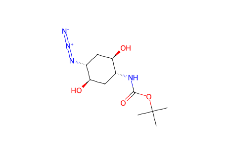 CC(C)(C)OC(=O)N[C@@H]1C[C@@H](O)[C@H](N=[N+]=[N-])C[C@H]1O